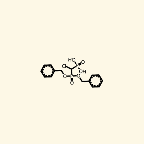 O=P(O)(O)C(Cl)P(=O)(OCc1ccccc1)OCc1ccccc1